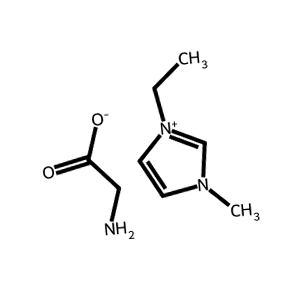 CC[n+]1ccn(C)c1.NCC(=O)[O-]